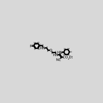 CCOC(=O)C(C#N)=C(NCCOCCNCc1ccc(F)cc1)NC1CCCCC1